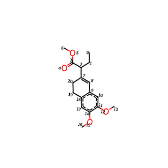 CCC(C(=O)OC)C1=Cc2cc(OC)c(OC)cc2CC1